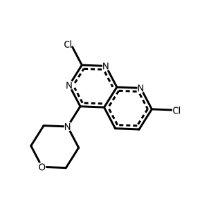 Clc1ccc2c(N3CCOCC3)nc(Cl)nc2n1